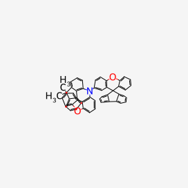 CC1(C)c2ccccc2-c2c(N(c3ccc4c(c3)C3(c5ccccc5O4)c4ccccc4-c4ccccc43)c3cccc4oc5ccccc5c34)cccc21